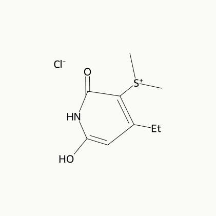 CCc1cc(O)[nH]c(=O)c1[S+](C)C.[Cl-]